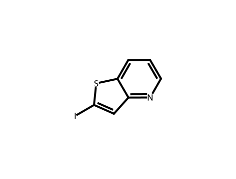 Ic1cc2ncccc2s1